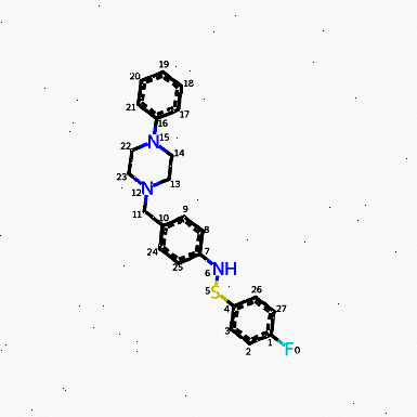 Fc1ccc(SNc2ccc(CN3CCN(c4ccccc4)CC3)cc2)cc1